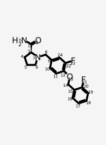 NC(=O)[C@@H]1CCCN1Cc1ccc(OCc2ccccc2F)c(F)c1